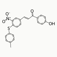 Cc1ccc(Sc2ccc(C=CC(=O)c3ccc(O)cc3)cc2[N+](=O)[O-])cc1